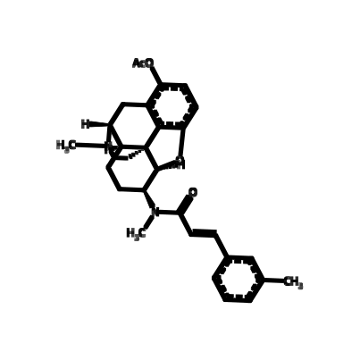 CC(=O)Oc1ccc2c3c1C[C@@H]1[C@@H]4CC[C@H](N(C)C(=O)C=Cc5cccc(C)c5)[C@H](O2)[C@]34CCN1C